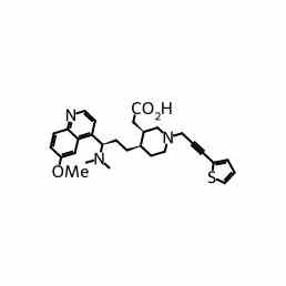 COc1ccc2nccc([C@@H](CC[C@@H]3CCN(CC#Cc4cccs4)C[C@@H]3CC(=O)O)N(C)C)c2c1